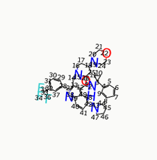 O=C(NC1(c2ccccc2)CC1)c1c(CN2CCC(N3CCOCC3)CC2)c(-c2cccc(C(F)(F)F)c2)nc2ccc(N3CCCC3)cc12